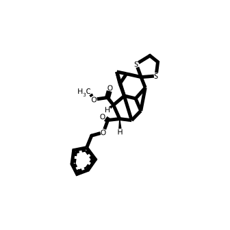 COC(=O)[C@@H]1C2C3C4C(C5C2C5C2(SCCS2)C34)[C@@H]1C(=O)OCc1ccccc1